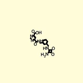 Nc1c(NCc2cccc(CNC(=O)c3cc(C(=O)O)ncn3)c2)c(=O)c1=O